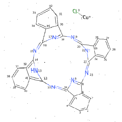 [Cl][Cu+].c1ccc2c(c1)-c1nc-2nc2[nH]c(nc3nc(nc4[n-]c(n1)c1ccccc41)-c1ccccc1-3)c1ccccc21